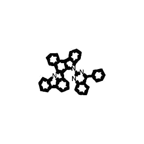 c1ccc(-c2nc(-n3c4ccccc4c4c5ccccc5c5c(c6cccc7c8ccccc8n5c76)c43)nc3ccccc23)cc1